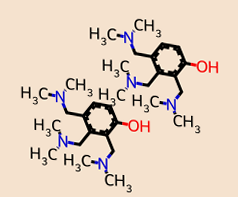 CN(C)Cc1ccc(O)c(CN(C)C)c1CN(C)C.CN(C)Cc1ccc(O)c(CN(C)C)c1CN(C)C